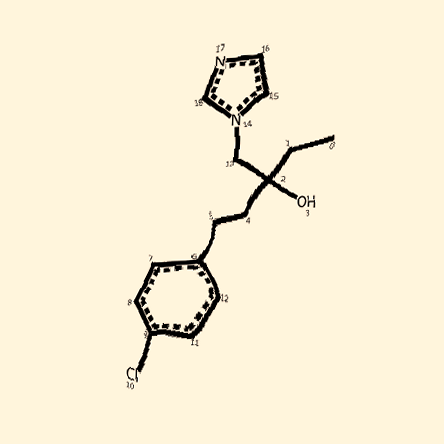 CCC(O)(CCc1ccc(Cl)cc1)Cn1ccnc1